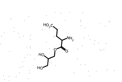 NC(CCC(=O)O)C(=O)OCC(O)CO